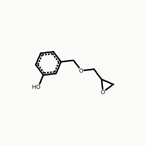 Oc1cccc(COCC2CO2)c1